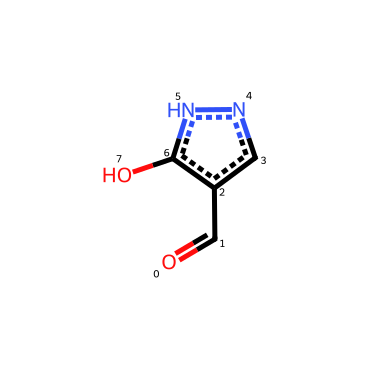 O=Cc1cn[nH]c1O